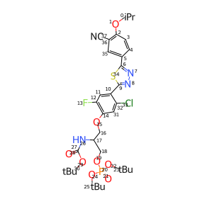 CC(C)Oc1ccc(-c2nnc(-c3cc(F)c(OCC(COP(=O)(OC(C)(C)C)OC(C)(C)C)NC(=O)OC(C)(C)C)cc3Cl)s2)cc1C#N